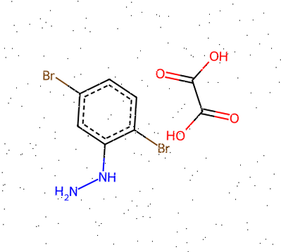 NNc1cc(Br)ccc1Br.O=C(O)C(=O)O